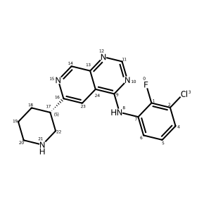 Fc1c(Cl)cccc1Nc1ncnc2cnc([C@H]3CCCNC3)cc12